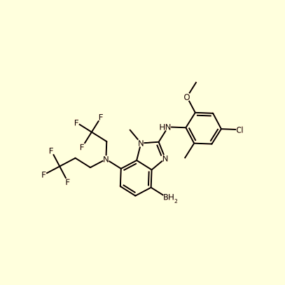 Bc1ccc(N(CCC(F)(F)F)CC(F)(F)F)c2c1nc(Nc1c(C)cc(Cl)cc1OC)n2C